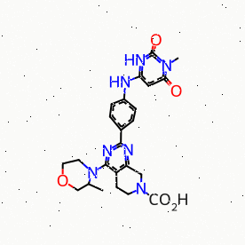 CC1COCCN1c1nc(-c2ccc(Nc3cc(=O)n(C)c(=O)[nH]3)cc2)nc2c1CCN(C(=O)O)C2